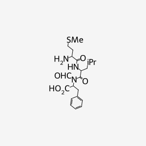 CSCCC(N)C(=O)NC(CC(C)C)C(=O)N(C=O)C(Cc1ccccc1)C(=O)O